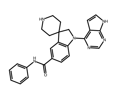 O=C(Nc1ccccc1)c1ccc2c(c1)C1(CCNCC1)CN2c1ncnc2[nH]ccc12